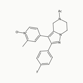 CC(=O)N1CCn2nc(-c3ccc(F)cc3)c(-c3cc[n+]([O-])c(C)c3)c2C1